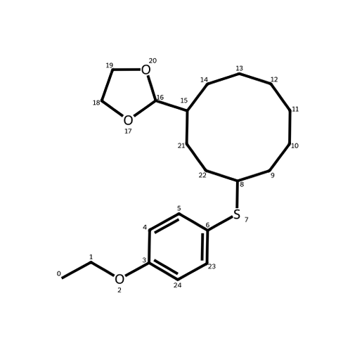 CCOc1ccc(SC2CCCCCCC(C3OCCO3)CC2)cc1